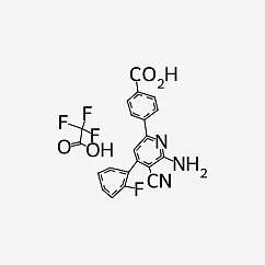 N#Cc1c(-c2ccccc2F)cc(-c2ccc(C(=O)O)cc2)nc1N.O=C(O)C(F)(F)F